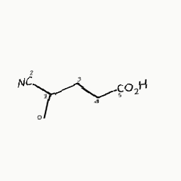 C[C](C#N)CCC(=O)O